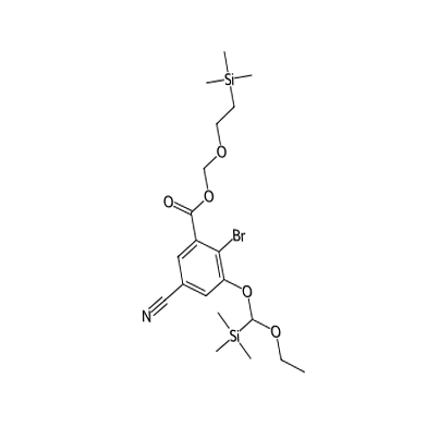 CCOC(Oc1cc(C#N)cc(C(=O)OCOCC[Si](C)(C)C)c1Br)[Si](C)(C)C